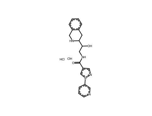 Cl.Cl.O=C(NCC(O)C1Cc2ccccc2CN1)c1cnn(-c2cccnc2)c1